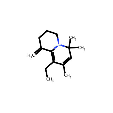 C=C1CCCN2C1=C(CC)C(C)=CC2(C)C